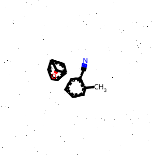 Cc1ccccc1C#N.O=C1c2cccc1c2